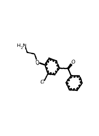 NCCOc1ccc(C(=O)c2ccccc2)cc1Cl